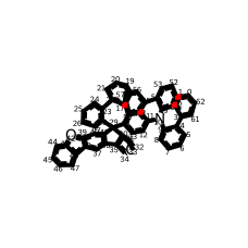 c1ccc(-c2ccccc2N(c2ccc3c(c2)-c2ccccc2-c2ccccc2C32c3ccccc3-c3cc4c(cc32)oc2ccccc24)c2ccccc2-c2ccccc2)cc1